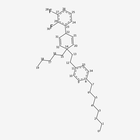 CCCCCCCCc1ccc(CCC2(CCCCC)C=CC(c3cccc(F)c3F)C=C2)cc1